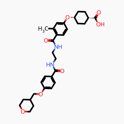 Cc1cc(O[C@H]2CC[C@@H](C(=O)O)CC2)ccc1C(=O)NCCNC(=O)c1ccc(OCC2CCOCC2)cc1